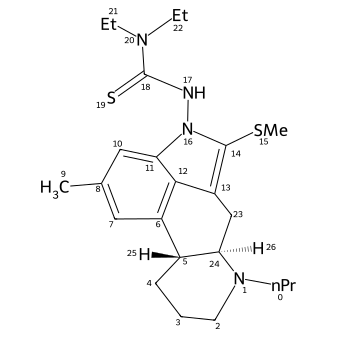 CCCN1CCC[C@@H]2c3cc(C)cc4c3c(c(SC)n4NC(=S)N(CC)CC)C[C@H]21